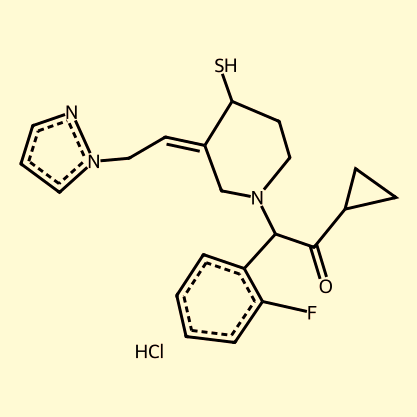 Cl.O=C(C1CC1)C(c1ccccc1F)N1CCC(S)/C(=C/Cn2cccn2)C1